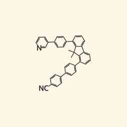 CC1(C)c2c(-c3ccc(-c4ccc(C#N)cc4)cc3)cccc2-c2cccc(-c3ccc(-c4cccnc4)cc3)c21